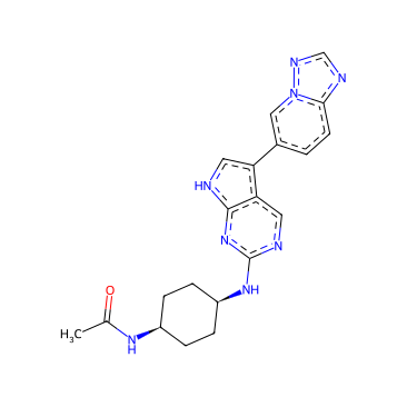 CC(=O)N[C@H]1CC[C@@H](Nc2ncc3c(-c4ccc5ncnn5c4)c[nH]c3n2)CC1